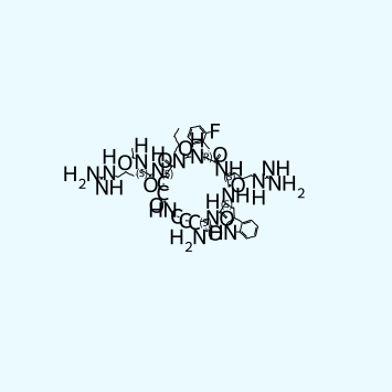 CCCCN1C(=O)N[C@H](Cc2ccccc2F)C(=O)N[C@@H](CCCNC(=N)N)C(=O)N[C@@H](Cc2c[nH]c3ccccc23)C(=O)N[C@H](C(N)=O)CCCNC(=O)CC[C@H](NC(=O)[C@H](CCCNC(=N)N)NC(C)=O)C1=O